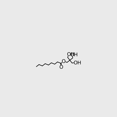 CCCCCCCCC(=O)OCC(CO)(CO)CO